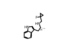 C[C@H](Cc1c[nH]c2ccccc12)NCC1(F)CC1